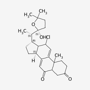 C[C@@H]([C@H]1CC[C@@H]2C3=CC(=O)C4CC(=O)CCC4(C)C3=CC(Cl)C21)[C@]1(O)CCC(C)(C)O1